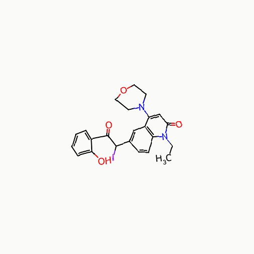 CCn1c(=O)cc(N2CCOCC2)c2cc(C(I)C(=O)c3ccccc3O)ccc21